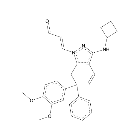 COc1ccc(C2(c3ccccc3)C=Cc3c(NC4CCC4)nn(C=CC=O)c3C2)cc1OC